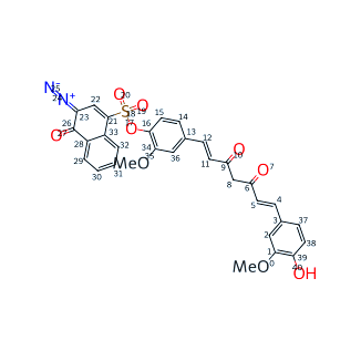 COc1cc(C=CC(=O)CC(=O)C=Cc2ccc(OS(=O)(=O)C3=CC(=[N+]=[N-])C(=O)c4ccccc43)c(OC)c2)ccc1O